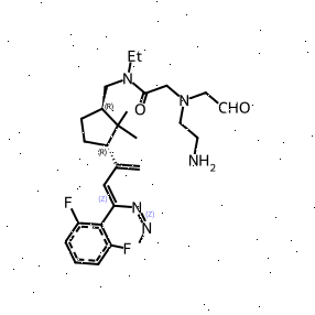 C=C(/C=C(\N=N/C)c1c(F)cccc1F)[C@@H]1CC[C@@H](CN(CC)C(=O)CN(CC=O)CCN)C1(C)C